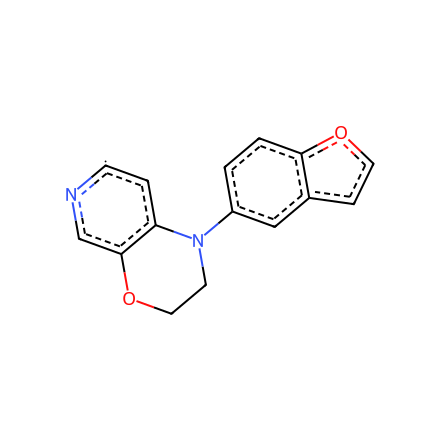 [c]1cc2c(cn1)OCCN2c1ccc2occc2c1